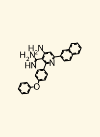 N=C(N)c1c(N)cc(-c2ccc3ccccc3c2)nc1-c1ccc(Oc2ccccc2)cc1